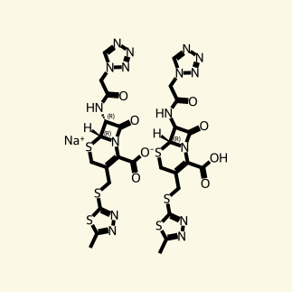 Cc1nnc(SCC2=C(C(=O)O)N3C(=O)C(NC(=O)Cn4cnnn4)[C@H]3SC2)s1.Cc1nnc(SCC2=C(C(=O)[O-])N3C(=O)[C@@H](NC(=O)Cn4cnnn4)[C@H]3SC2)s1.[Na+]